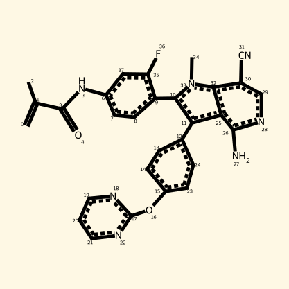 C=C(C)C(=O)Nc1ccc(-c2c(-c3ccc(Oc4ncccn4)cc3)c3c(N)ncc(C#N)c3n2C)c(F)c1